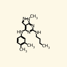 CCCCNc1nc(Nc2ccc(C)c(C)c2)c2cnn(C)c2n1